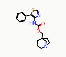 O=C(Nc1ncsc1-c1ccccc1)OCC12CCCN(CC1)C2